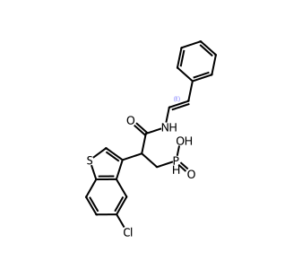 O=C(N/C=C/c1ccccc1)C(C[PH](=O)O)c1csc2ccc(Cl)cc12